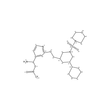 NC(OC(=O)C(F)(F)F)c1ccnc(OCC2CC(C3CCCCC3)CN(S(=O)(=O)N3CCOCC3)C2)c1